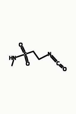 CNS(=O)(=O)CCN=C=O